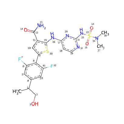 CC(CO)c1cc(F)c(-c2cc(C(N)=O)c(Nc3ccnc(NS(=O)(=O)N(C)C)n3)s2)c(F)c1